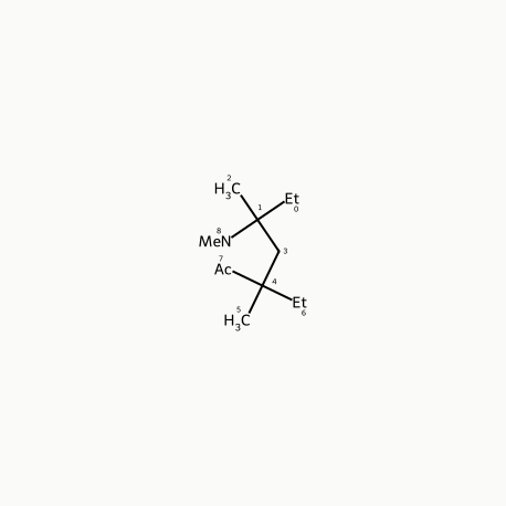 CCC(C)(CC(C)(CC)C(C)=O)NC